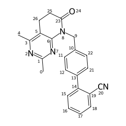 Cc1nc(C)c2c(n1)N(Cc1ccc(-c3ccccc3C#N)cc1)C(=O)CC2